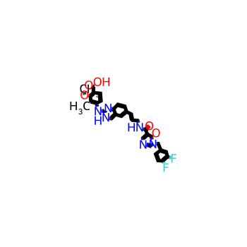 COc1c(C(=O)O)ccc(Nc2ncc3cc(C=CCNC(=O)c4cncn(Cc5ccc(F)c(F)c5)c4=O)ccc3n2)c1C